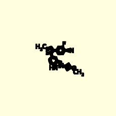 COC1CC(N/C=C2/C=C(c3sc(C)cc3-c3ccc(C#N)c(F)c3)C=CC2=N)C1